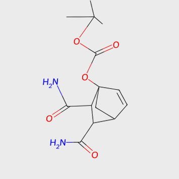 CC(C)(C)OC(=O)OC12C=CC(C1)C(C(N)=O)C2C(N)=O